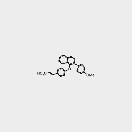 COc1ccc(-c2ccc3ccccc3c2Oc2ccc(C=CC(=O)O)cc2)cc1